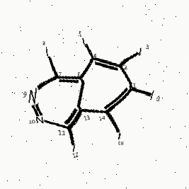 Ic1c(I)c(I)c2c(I)nnc(I)c2c1I